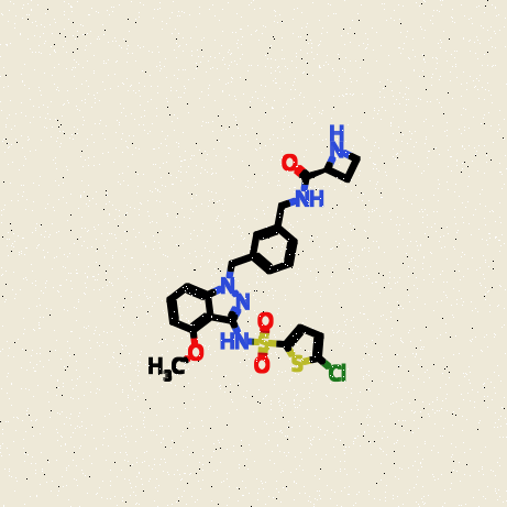 COc1cccc2c1c(NS(=O)(=O)c1ccc(Cl)s1)nn2Cc1cccc(CNC(=O)[C@@H]2CCN2)c1